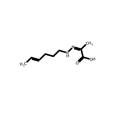 CC=CCCCNN=C(C)C(=O)O